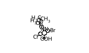 CC(C)(C)OC(=O)N1CCN(C2c3ccc(Cl)cc3C(C(=O)O)=Cc3cc(Br)cnc32)CC1